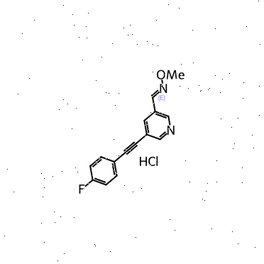 CO/N=C/c1cncc(C#Cc2ccc(F)cc2)c1.Cl